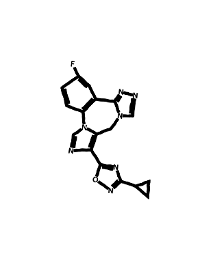 Fc1ccc2c(c1)-c1nncn1Cc1c(-c3nc(C4CC4)no3)ncn1-2